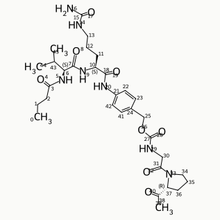 CCCC(=O)N[C@H](C(=O)N[C@@H](CCCNC(N)=O)C(=O)Nc1ccc(COC(=O)NCC(=O)N2CCC[C@@H]2C(C)=O)cc1)C(C)C